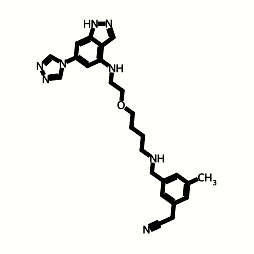 Cc1cc(CC#N)cc(CNCCCCOCCNc2cc(-n3cnnc3)cc3[nH]ncc23)c1